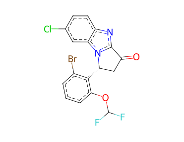 O=C1C[C@H](c2c(Br)cccc2OC(F)F)n2c1nc1ccc(Cl)cc12